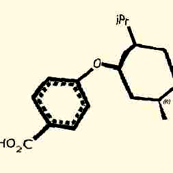 CC(C)C1CC[C@@H](C)CC1Oc1ccc(C(=O)O)cc1